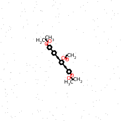 C=CC(=O)Oc1cc(C#Cc2ccc(OC(=O)C(=C)C)cc2)ccc1C#Cc1ccc(-c2ccc(OC(=O)C(=C)C)cc2)cc1